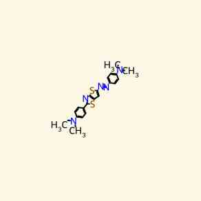 CCN(CC)c1ccc(-c2nc3sc(N=Nc4ccc(N(C)C)cc4)cc3s2)cc1